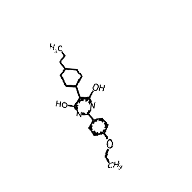 CCCC1CCC(c2c(O)nc(-c3ccc(OCC)cc3)nc2O)CC1